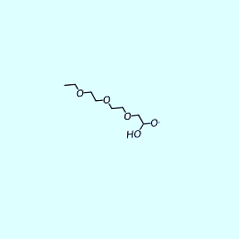 CCOCCOCCOCC([O])O